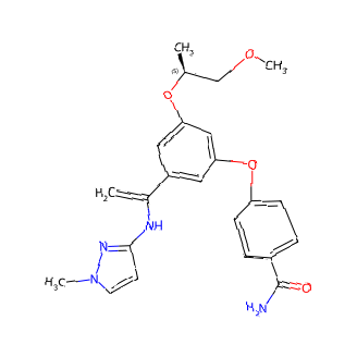 C=C(Nc1ccn(C)n1)c1cc(Oc2ccc(C(N)=O)cc2)cc(O[C@@H](C)COC)c1